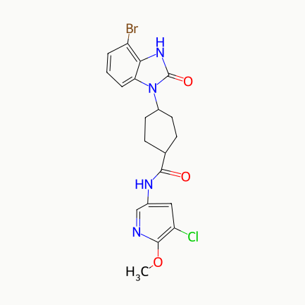 COc1ncc(NC(=O)C2CCC(n3c(=O)[nH]c4c(Br)cccc43)CC2)cc1Cl